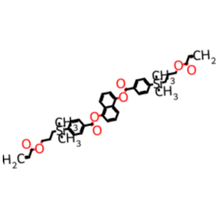 C=CC(=O)OCCC[Si](C)(C)c1ccc(C(=O)Oc2cccc3c(OC(=O)c4ccc([Si](C)(C)CCCOC(=O)C=C)cc4)cccc23)cc1